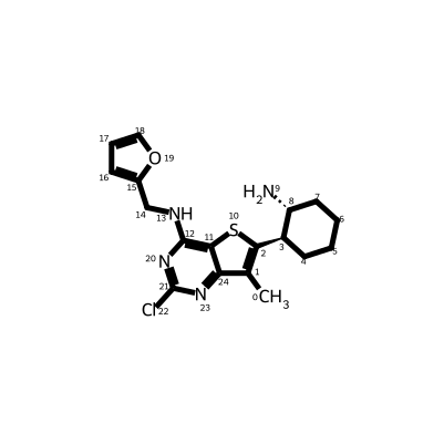 Cc1c([C@@H]2CCCC[C@H]2N)sc2c(NCc3ccco3)nc(Cl)nc12